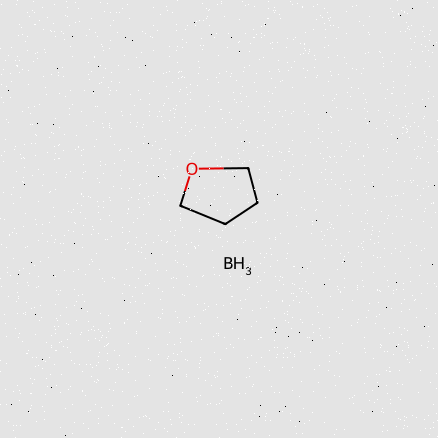 B.C1CCOC1